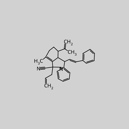 C=CCC(C#N)(C#N)C1=C(C)CCC(C(=C)C)C1C(/C=C/c1ccccc1)c1ccccc1